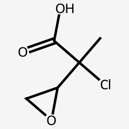 CC(Cl)(C(=O)O)C1CO1